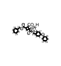 CCCC1(C(=O)NCc2ccc(Oc3ccccc3)cc2)CC(C(=O)OCc2ccccc2)C1C(=O)O